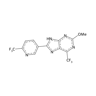 COc1nc(C(F)(F)F)c2nc(-c3ccc(C(F)(F)F)nc3)[nH]c2n1